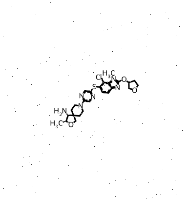 C[C@@H]1OCC2(CCN(c3cnc(Sc4ccc5nc(OC6CCOC6)n(C)c5c4Cl)cn3)CC2)[C@@H]1N